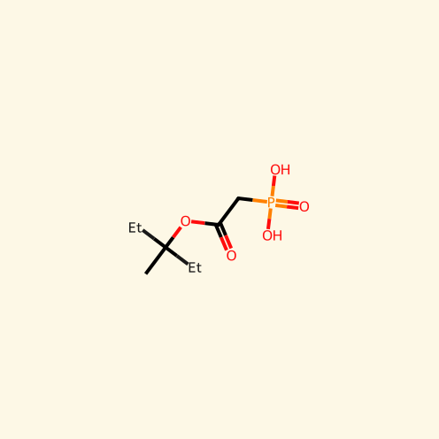 CCC(C)(CC)OC(=O)CP(=O)(O)O